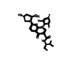 CCC(NC(=O)c1cn(-c2c(F)cc(F)cc2F)c2nc(N3C[C@@H](O)CC3O)ccc2c1=O)C(C)C